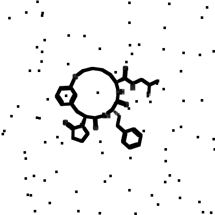 CC(F)CNC(=O)[C@@H]1CCCCOc2cccc(c2)C[C@H](N2CCCC2=O)C(=O)N[C@@H](CCc2ccccc2)C(=O)N1